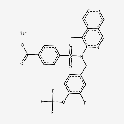 Cc1c(N(Cc2ccc(OC(F)(F)F)c(F)c2)S(=O)(=O)c2ccc(C(=O)[O-])cc2)ncc2ccccc12.[Na+]